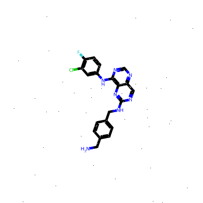 NCc1ccc(CNc2ncc3ncnc(Nc4ccc(F)c(Cl)c4)c3n2)cc1